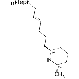 CCCCCCCCC=CCCC[C@H]1CCC[C@H](C)N1